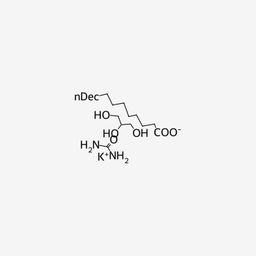 CCCCCCCCCCCCCCCCCC(=O)[O-].NC(N)=O.OCC(O)CO.[K+]